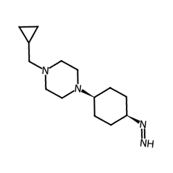 N=N[C@H]1CC[C@@H](N2CCN(CC3CC3)CC2)CC1